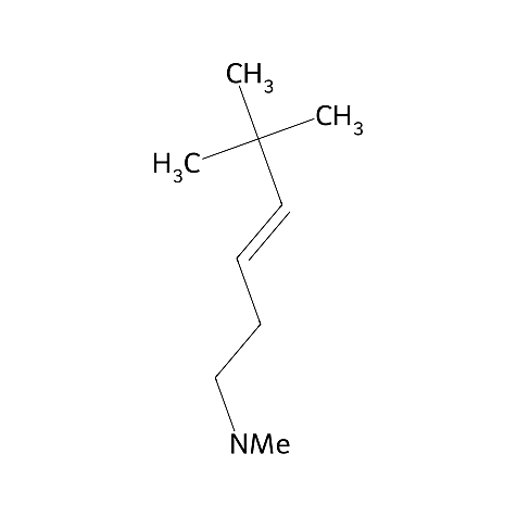 CNCC/C=C/C(C)(C)C